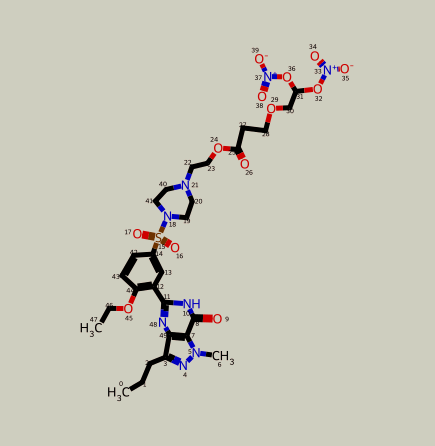 CCCc1nn(C)c2c(=O)[nH]c(-c3cc(S(=O)(=O)N4CCN(CCOC(=O)CCOCC(O[N+](=O)[O-])O[N+](=O)[O-])CC4)ccc3OCC)nc12